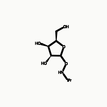 CC(C)NOC1O[C@H](CO)[C@H](O)[C@H]1O